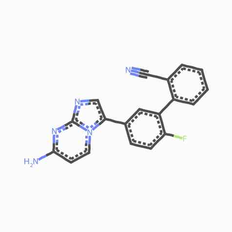 N#Cc1ccccc1-c1cc(-c2cnc3nc(N)ccn23)ccc1F